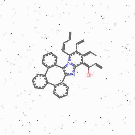 C=C/C=C\c1c(C=C)c(=C/C)/c(=C(/O)C=C)c2nc3c(n12)-c1ccccc1-c1ccccc1-c1ccccc1-3